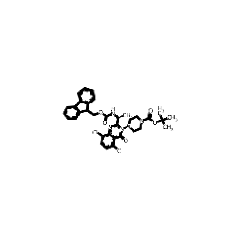 C[C@H](NC(=O)OCC1c2ccccc2-c2ccccc21)c1nc2c(Cl)ccc(Cl)c2c(=O)n1N1CCN(C(=O)OC(C)(C)C)CC1